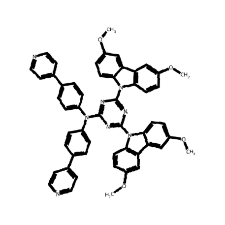 COc1ccc2c(c1)c1cc(OC)ccc1n2-c1nc(N(c2ccc(-c3ccncc3)cc2)c2ccc(-c3ccncc3)cc2)nc(-n2c3ccc(OC)cc3c3cc(OC)ccc32)n1